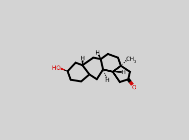 C[C@@]12CC[C@H]3C[C@H]4C[C@H](O)CCC4C[C@@H]3[C@H]1CC(=O)C2